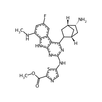 CNc1cc(F)cc2c1[nH]c1nc(Nc3cnc(C(=O)OC)s3)nc(C3C[C@H]4C[C@@H]3C[C@H]4N)c12